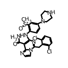 C[S+]([O-])c1cc(N2CCNCC2)ccc1Nc1nc(Cc2c(Cl)cccc2Cl)n2ccnc2c1C(N)=O